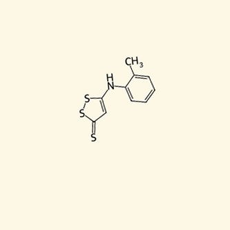 Cc1ccccc1Nc1cc(=S)ss1